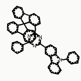 c1ccc(-c2nc(-c3ccc4c(c3)c3ccccc3n4-c3ccccc3)nc(-c3cccc4c3C3(c5ccccc5-c5ccccc53)c3ccccc3-4)n2)cc1